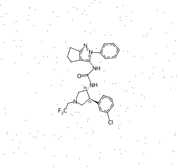 O=C(Nc1c2c(nn1-c1ccccc1)CCC2)N[C@H]1CN(CC(F)(F)F)C[C@@H]1c1cccc(Cl)c1